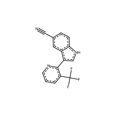 N#Cc1ccc2[nH]cc(-c3ncccc3C(F)(F)F)c2c1